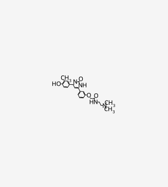 Cc1cc(-c2cc(-c3cccc(OCC(=O)NCCN(C)C)c3)[nH]c(=O)n2)ccc1O